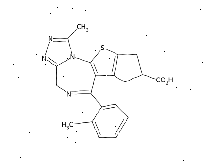 Cc1ccccc1C1=NCc2nnc(C)n2-c2sc3c(c21)CC(C(=O)O)C3